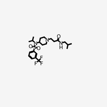 CC(C)CNC(=O)CCN1CCC(N(C(C)C)S(=O)(=O)c2cccc(C(F)(F)F)c2)CC1